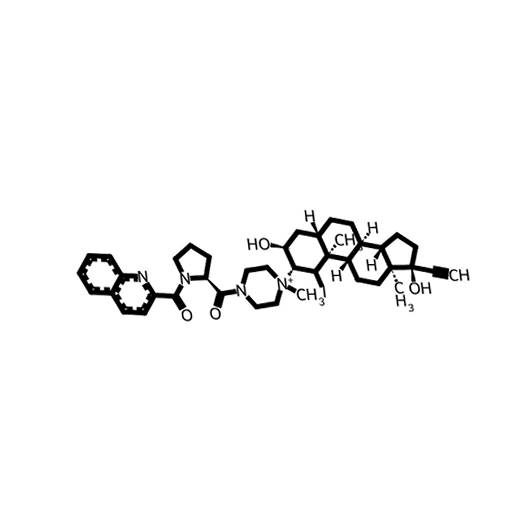 C#C[C@@]1(O)CC[C@H]2[C@@H]3CC[C@H]4C[C@H](O)[C@@H]([N+]5(C)CCN(C(=O)[C@@H]6CCCN6C(=O)c6ccc7ccccc7n6)CC5)C(I)[C@]4(C)[C@H]3CC[C@@]21C